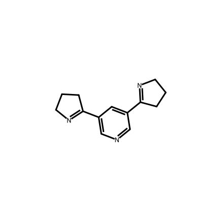 c1ncc(C2=NCCC2)cc1C1=NCCC1